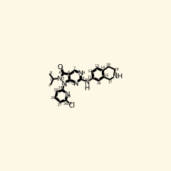 CC(C)n1c(=O)c2cnc(Nc3ccc4c(c3)CNCC4)nc2n1-c1cccc(Cl)n1